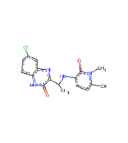 CC(Nc1ccc(C#N)n(C)c1=O)c1nc2cc(Cl)ccc2[nH]c1=O